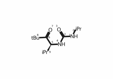 CC(C)NC(=O)N[C@H](C(=O)C(C)(C)C)C(C)C